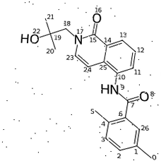 Cc1ccc(C)c(C(=O)Nc2cccc3c(=O)n(CC(C)(C)O)ccc23)c1